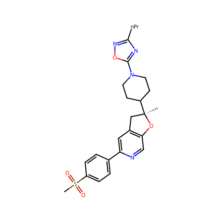 CCCc1noc(N2CCC([C@]3(C)Cc4cc(-c5ccc(S(C)(=O)=O)cc5)ncc4O3)CC2)n1